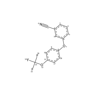 N#Cc1cccc(Oc2ccc(OC(F)(F)F)cc2)c1